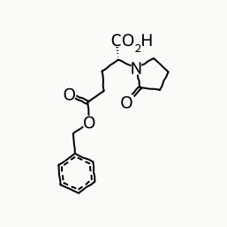 O=C(CC[C@H](C(=O)O)N1CCCC1=O)OCc1ccccc1